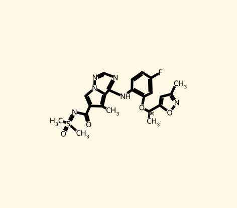 Cc1cc([C@@H](C)Oc2cc(F)ccc2Nc2ncnn3cc(C(=O)N=S(C)(C)=O)c(C)c23)on1